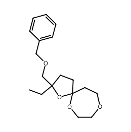 CCC1(COCc2ccccc2)CCC2(CCOCCO2)O1